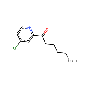 O=C(O)CCCCC(=O)c1cc(Cl)ccn1